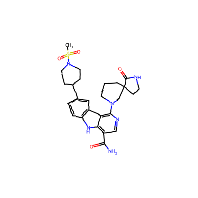 CS(=O)(=O)N1CCC(c2ccc3[nH]c4c(C(N)=O)cnc(N5CCCC6(CCNC6=O)C5)c4c3c2)CC1